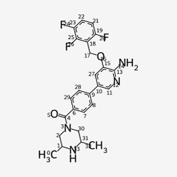 CC1CN(C(=O)c2ccc(-c3cnc(N)c(OCc4c(F)ccc(F)c4F)c3)cc2)CC(C)N1